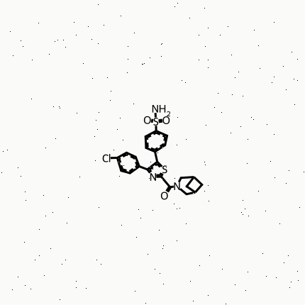 NS(=O)(=O)c1ccc(-c2sc(C(=O)N3CC4CC(C4)C3)nc2-c2ccc(Cl)cc2)cc1